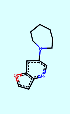 c1cc2ncc(N3CCCCCC3)cc2o1